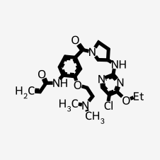 C=CC(=O)Nc1ccc(C(=O)N2CCC(Nc3ncc(Cl)c(OCC)n3)C2)cc1OCCN(C)C